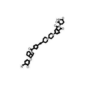 N#Cc1ccc(OC2C3CCCC34C2CN4C(=O)c2ccc(C#CC3CCN(C4CCN(c5ccc6c(c5)C(=O)N(C5CCC(=O)NC5=O)C6=O)CC4)CC3)cc2)cc1Cl